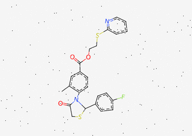 Cc1cc(C(=O)OCCSc2ccccn2)ccc1N1C(=O)CSC1c1ccc(F)cc1